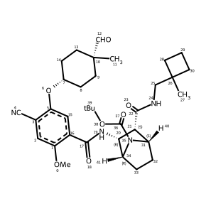 COc1cc(C#N)c(O[C@H]2CC[C@@](C)(C=O)CC2)cc1C(=O)N[C@@H]1[C@H](C(=O)NCC2(C)CCC2)[C@@H]2CC[C@H]1N2C(=O)OC(C)(C)C